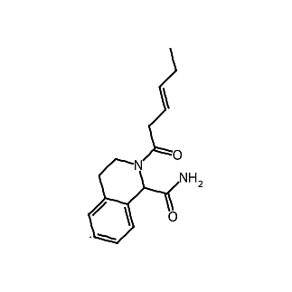 CCC=CCC(=O)N1CCc2c[c]ccc2C1C(N)=O